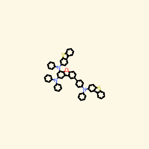 c1ccc(N(c2ccc(-c3ccc4oc5c(N(c6ccccc6)c6ccc7c(c6)sc6ccccc67)cc(N(c6ccccc6)c6ccccc6)cc5c4c3)cc2)c2ccc3sc4ccccc4c3c2)cc1